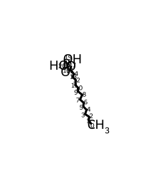 CCCCCCCCCCCCCCCC(=O)OB(O)O